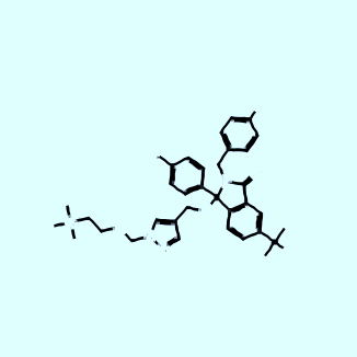 CC(C)(O)c1ccc2c(c1)C(=O)N(Cc1ccc(Cl)cc1)C2(OCc1cnn(COCC[Si](C)(C)C)c1)c1ccc(Cl)cc1